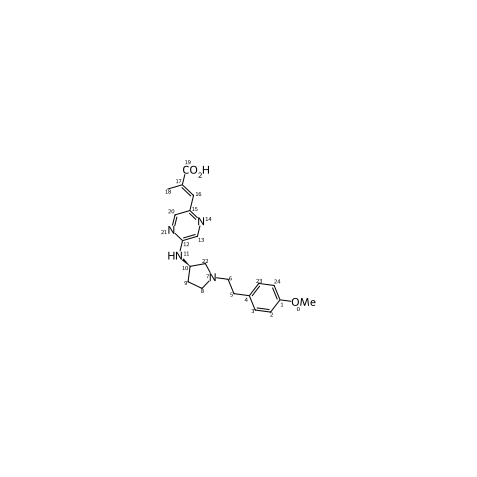 COc1ccc(CCN2CC[C@@H](Nc3cnc(/C=C(\C)C(=O)O)cn3)C2)cc1